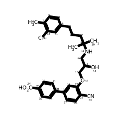 Cc1ccc(CCCC(C)(C)NCC(O)COc2cc(-c3ccc(C(=O)O)cc3)ccc2C#N)cc1Cl